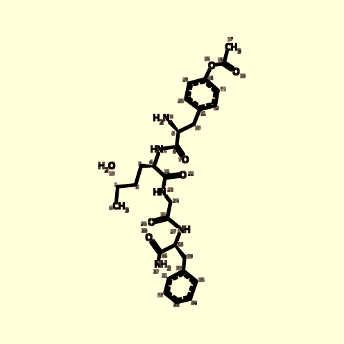 CCCC[C@@H](NC(=O)[C@@H](N)Cc1ccc(OC(C)=O)cc1)C(=O)NCC(=O)N[C@@H](Cc1ccccc1)C(N)=O.O